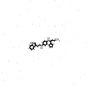 C=C/C=C(/Nc1ccc(NCCc2c[nH]c3ccccc23)cc1)C1=CCCC1